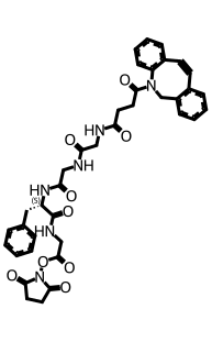 O=C(CCC(=O)N1Cc2ccccc2C#Cc2ccccc21)NCC(=O)NCC(=O)N[C@@H](Cc1ccccc1)C(=O)NCC(=O)ON1C(=O)CCC1=O